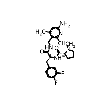 Cc1cc(N)nc(C)c1CNC(=O)[C@H](Cc1ccc(F)c(F)c1)NC(=O)[C@H]1CCCN1C